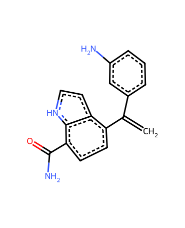 C=C(c1cccc(N)c1)c1ccc(C(N)=O)c2[nH]ccc12